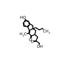 CCCCC12Cc3cc(O)ccc3C1=C(C)C(=O)C(CC(=O)CO)C2